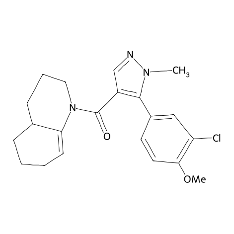 COc1ccc(-c2c(C(=O)N3CCCC4CCCC=C43)cnn2C)cc1Cl